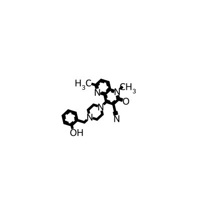 Cc1ccc2c(n1)c(N1CCN(Cc3ccccc3O)CC1)c(C#N)c(=O)n2C